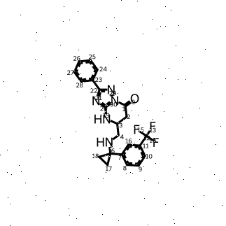 O=C1CC(CNC2(c3cccc(C(F)(F)F)c3)CC2)Nc2nc(-c3ccccc3)nn21